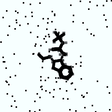 CCO[C@H]1Cc2ccccc2[C@H]1NC(=O)OC(C)(C)C